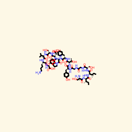 CC[C@H](C)[C@H](NC(=O)[C@@H](NC(=O)[C@@H](N)CO)[C@@H](C)CC)C(=O)N[C@@H](CO)C(=O)NCC(=O)NCC(=O)N[C@@H](Cc1ccc(O)cc1)C(=O)N[C@H](C(=O)N[C@@H](Cc1ccc(O)cc1)C(=O)N[C@@H](Cc1ccc(O)cc1)C(=O)N1CCC[C@H]1C(=O)N[C@@H](CC(=O)O)C(=O)N[C@@H](CO)C(=O)N[C@H](C(=O)N[C@@H](CCCCN)C(=O)NCC(=O)O)C(C)C)[C@@H](C)O